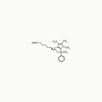 CCCCCCCCCCCCCCCCCC[Si](C)(C1=C(C)C(C)=C(C)C1C)c1ccccc1